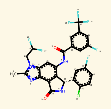 Cc1nc2c3c(c(NC(=O)c4cc(F)cc(C(F)(F)F)c4)cc2n1CC(F)F)[C@H](c1cc(F)ccc1Cl)NC3=O